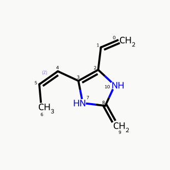 C=CC1=C(/C=C\C)NC(=C)N1